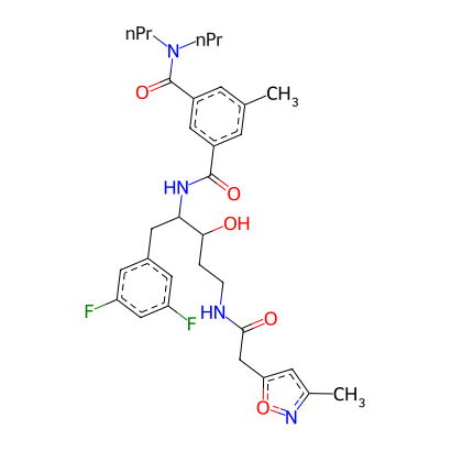 CCCN(CCC)C(=O)c1cc(C)cc(C(=O)NC(Cc2cc(F)cc(F)c2)C(O)CCNC(=O)Cc2cc(C)no2)c1